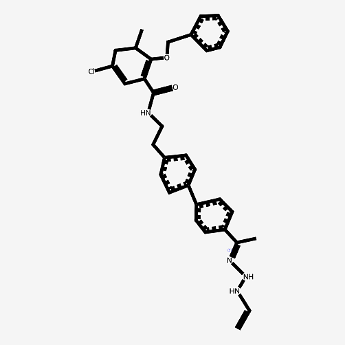 C=CNN/N=C(\C)c1ccc(-c2ccc(CCNC(=O)C3=C(OCc4ccccc4)C(C)CC(Cl)=C3)cc2)cc1